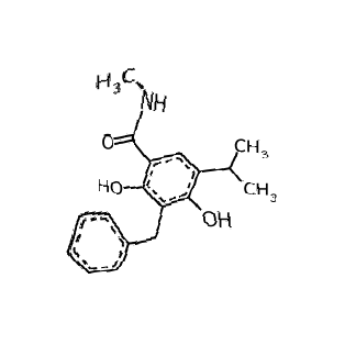 CNC(=O)c1cc(C(C)C)c(O)c(Cc2ccccc2)c1O